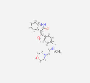 CN(CCN1CCOCC1)Cc1ccc2c(c1)CO/C2=C1/C(=O)Nc2ccccc21